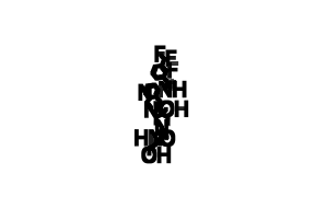 C[C@@H](Nc1ccnc2cnc(C3(O)CCN(C(=O)NCCO)CC3)cc12)c1cccc(C(F)F)c1F